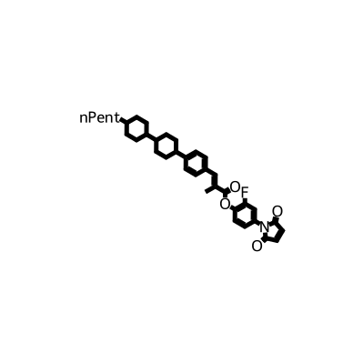 CCCCCC1CCC(C2CCC(c3ccc(/C=C(\C)C(=O)Oc4ccc(N5C(=O)C=CC5=O)cc4F)cc3)CC2)CC1